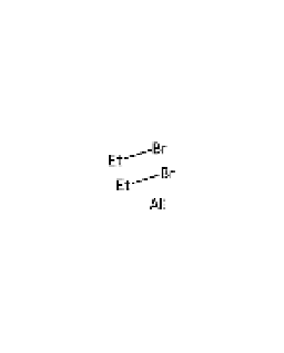 CCBr.CCBr.[Al]